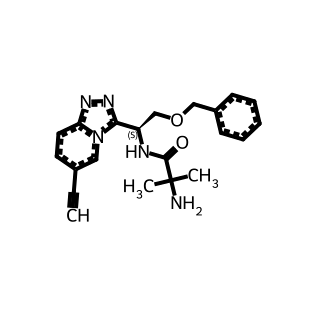 C#Cc1ccc2nnc([C@@H](COCc3ccccc3)NC(=O)C(C)(C)N)n2c1